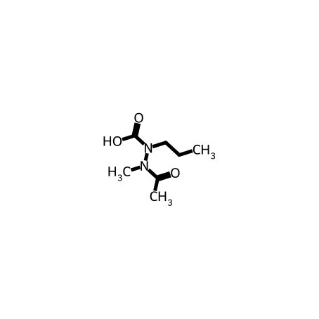 CCCN(C(=O)O)N(C)C(C)=O